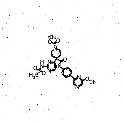 CCOc1cncc(-c2ccc(NC(=O)C3(c4ccnc(NS(C)(=O)=O)n4)CCN(C(=O)OC(C)(C)C)CC3)nc2)n1